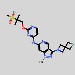 CC[C@H](C)n1nc(N2CC3(COC3)C2)c2cnc(Nc3ccnc(OCC(C)(C)S(C)(=O)=O)n3)cc21